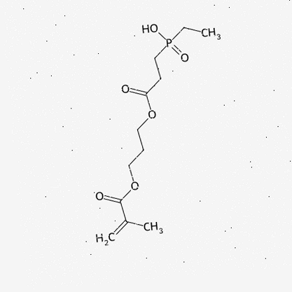 C=C(C)C(=O)OCCCOC(=O)CCP(=O)(O)CC